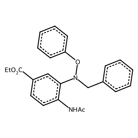 CCOC(=O)c1ccc(NC(C)=O)c(N(Cc2ccccc2)Oc2ccccc2)c1